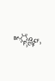 FC(F)(F)C(F)(Oc1ccc(Br)cc1)C(F)(F)F